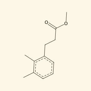 COC(=O)CCc1cccc(C)c1C